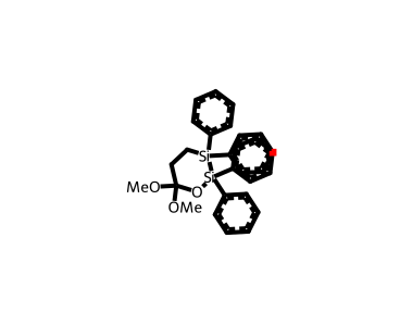 COC1(OC)CC[Si](c2ccccc2)(c2ccccc2)[Si](c2ccccc2)(c2ccccc2)O1